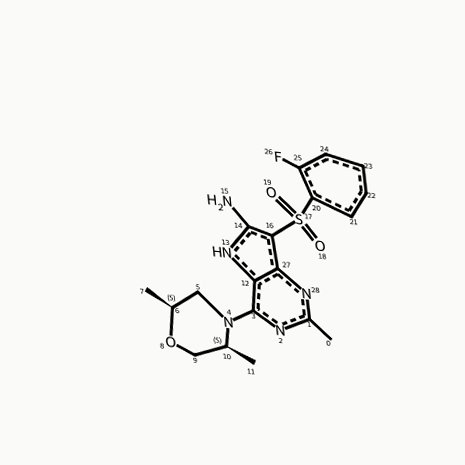 Cc1nc(N2C[C@H](C)OC[C@@H]2C)c2[nH]c(N)c(S(=O)(=O)c3ccccc3F)c2n1